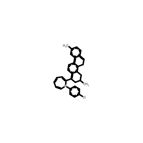 Cc1ccc2c(c1)=c1ccc3c(c1CC=2)CC(C)CC=3C1=CC=CC=CN1c1ccc(Cl)cc1